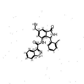 Cc1ccccc1C1NC(=O)c2cc(CBr)cc(NC(=O)c3nsc4ccccc34)c21